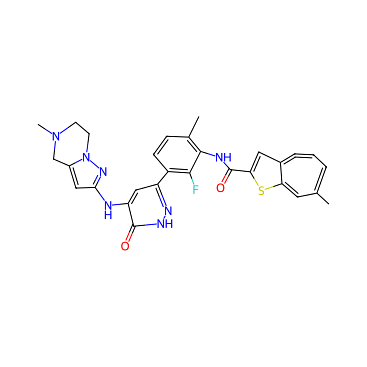 CC1=CC=C=c2cc(C(=O)Nc3c(C)ccc(-c4cc(Nc5cc6n(n5)CCN(C)C6)c(=O)[nH]n4)c3F)sc2=C1